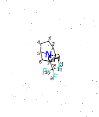 CN1C2CCC1CC(C(F)(F)F)C2